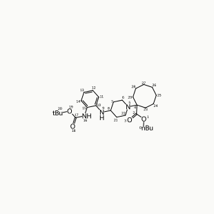 CCCCOC(=O)C1(N2CCC(Nc3ccccc3NC(=O)OC(C)(C)C)CC2)CCCCCCC1